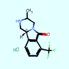 CC1CN2C(=O)c3c(cccc3C(F)(F)F)[C@@H]2CN1.Cl